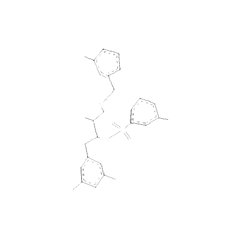 CCc1cccc(CNCC(O)C(Cc2cc(F)cc(F)c2)NS(=O)(=O)c2cccc(Cl)c2)c1